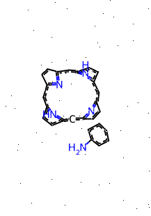 C1=Cc2cc3ccc(cc4nc(cc5ccc(cc1n2)[nH]5)C=C4)[nH]3.Nc1ccccc1